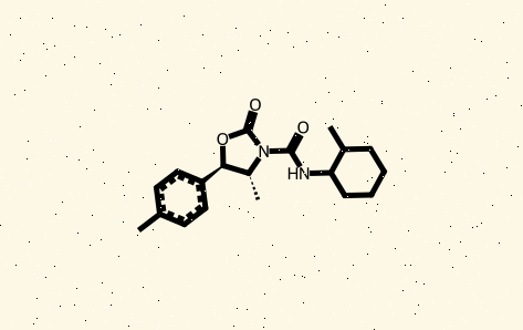 Cc1ccc([C@H]2OC(=O)N(C(=O)NC3CCCCC3C)[C@@H]2C)cc1